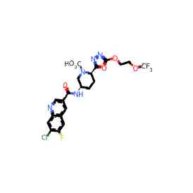 O=C(N[C@H]1CC[C@H](c2nnc(OCCOC(F)(F)F)o2)N(C(=O)O)C1)c1cnc2cc(Cl)c(F)cc2c1